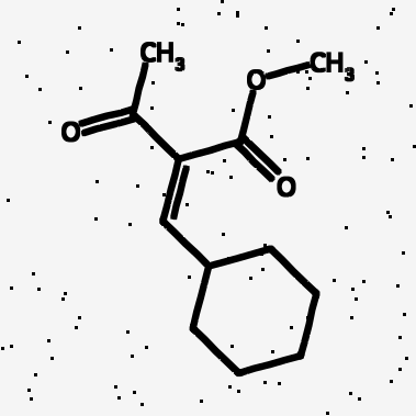 COC(=O)C(=CC1CCCCC1)C(C)=O